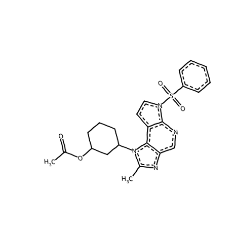 CC(=O)OC1CCCC(n2c(C)nc3cnc4c(ccn4S(=O)(=O)c4ccccc4)c32)C1